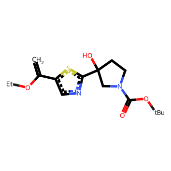 C=C(OCC)c1cnc(C2(O)CCN(C(=O)OC(C)(C)C)C2)s1